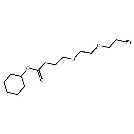 CC(C)CCOCCOCCCC(=O)OC1CCCCC1